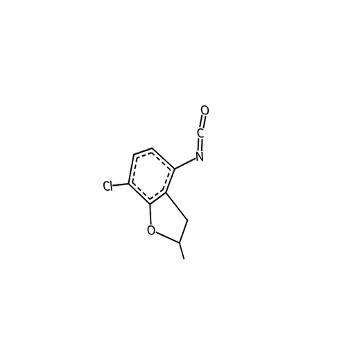 CC1Cc2c(N=C=O)ccc(Cl)c2O1